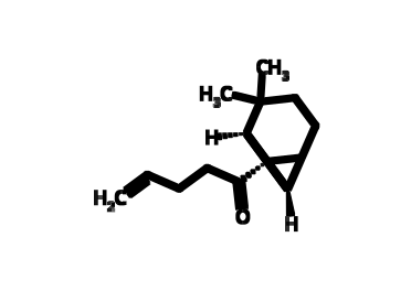 C=CCCC(=O)[C@@]12C3CCC(C)(C)[C@@H]1[C@@H]32